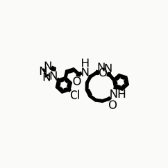 O=C(/C=C\c1cc(Cl)ccc1-n1cnnn1)N[C@H]1C/C=C\CCC(=O)Nc2ccccc2-c2nnc1o2